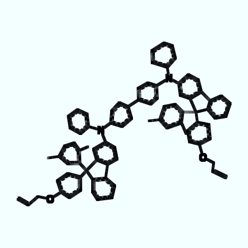 C=CCOc1ccc(C2(c3ccc(C)cc3C)c3ccccc3-c3ccc(N(c4ccccc4)c4ccc(-c5ccc(N(c6ccccc6)c6ccc7c(c6)C(c6ccc(OCC=C)cc6)(c6cc(C)ccc6C)c6ccccc6-7)cc5)cc4)cc32)cc1